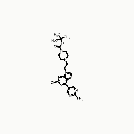 CC(C)(C)OC(=O)N1CCN(CCn2cnc3c(-c4cnc(N)nc4)nc(Cl)nc32)CC1